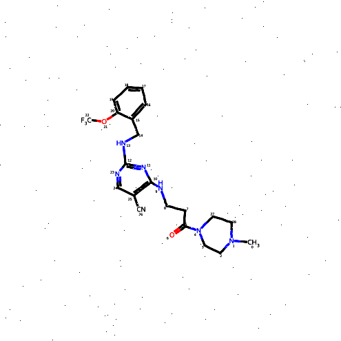 CN1CCN(C(=O)CCNc2nc(NCc3ccccc3OC(F)(F)F)ncc2C#N)CC1